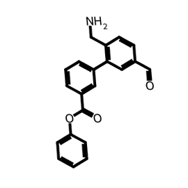 NCc1ccc(C=O)cc1-c1cccc(C(=O)Oc2ccccc2)c1